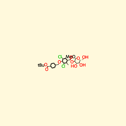 CO[C@H]1O[C@H](CO)[C@@H](O)[C@H](O)[C@H]1OC(=O)c1cc(Cl)c(OCc2ccc(C(=O)OC(C)(C)C)cc2)c(Cl)c1C